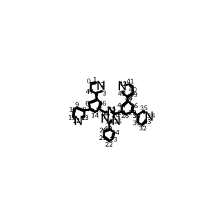 C1=CN=CC(c2cc(-c3cccnc3)cc(-c3nc(-c4ccccc4)nc(-c4cc(-c5cccnc5)cc(-c5cccnc5)c4)n3)c2)C1